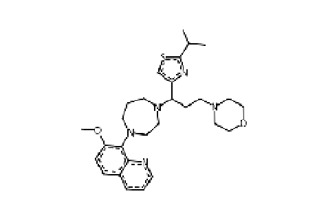 COc1ccc2cccnc2c1N1CCCN(C(CCN2CCOCC2)c2csc(C(C)C)n2)CC1